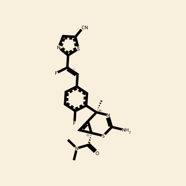 CN(C)C(=O)[C@]12C=C1[C@@](C)(c1cc(/C=C(\F)c3ncc(C#N)s3)ccc1F)N=C(N)S2